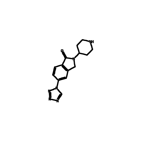 O=C1c2ccc(-n3cnnn3)cc2CN1C1CCNCC1